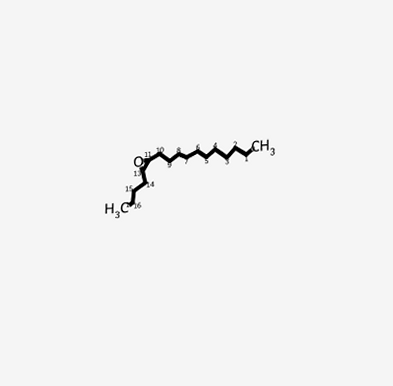 CCCCCCCCCCCC1OC1CCCC